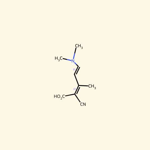 CC(/C=C/N(C)C)=C(\C#N)C(=O)O